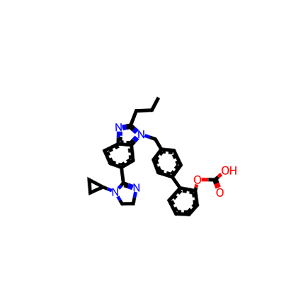 CCCc1nc2ccc(C3=NCCN3C3CC3)cc2n1Cc1ccc(-c2ccccc2OC(=O)O)cc1